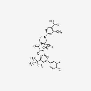 Cc1cc(N2CCN(C(=O)c3cc4nc(-c5ccc(Cl)c(F)c5)cc(C(C)(C)C)c4o3)C(C)(C)C2)ncc1C(=O)O